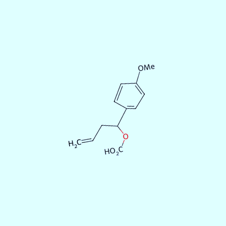 C=CCC(OC(=O)O)c1ccc(OC)cc1